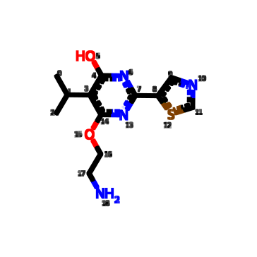 CC(C)c1c(O)nc(-c2cncs2)nc1OCCN